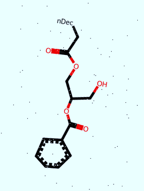 CCCCCCCCCCCC(=O)OCC(CO)OC(=O)c1ccccc1